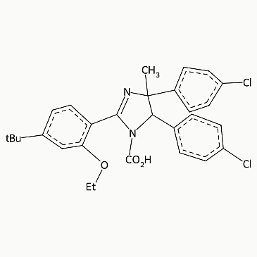 CCOc1cc(C(C)(C)C)ccc1C1=NC(C)(c2ccc(Cl)cc2)C(c2ccc(Cl)cc2)N1C(=O)O